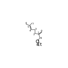 C=C(CCC=C(C)C)COCC